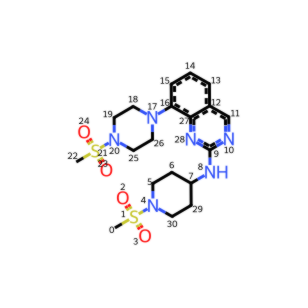 CS(=O)(=O)N1CCC(Nc2ncc3cccc(N4CCN(S(C)(=O)=O)CC4)c3n2)CC1